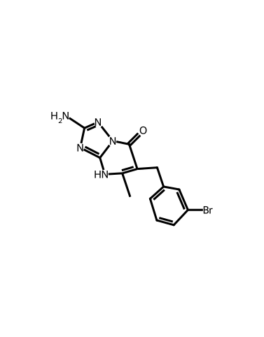 Cc1[nH]c2nc(N)nn2c(=O)c1Cc1cccc(Br)c1